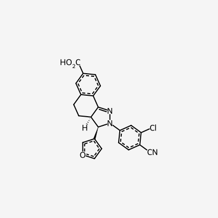 N#Cc1ccc(N2N=C3c4ccc(C(=O)O)cc4CC[C@@H]3[C@@H]2c2ccoc2)cc1Cl